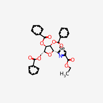 CCOC(=O)c1c[se]c([C@@H]2O[C@H](COC(=O)c3ccccc3)[C@@H](OC(=O)c3ccccc3)[C@H]2OC(=O)c2ccccc2)n1